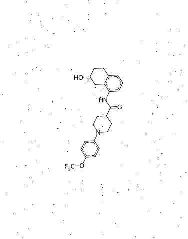 O=C(Nc1cccc2c1C[C@H](O)CC2)C1CCN(c2ccc(OC(F)(F)F)cc2)CC1